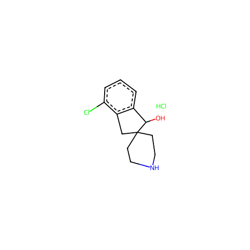 Cl.OC1c2cccc(Cl)c2CC12CCNCC2